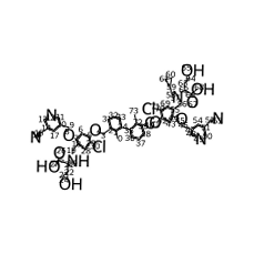 Cc1c(COc2cc(OCc3cncc(C#N)c3)c(CNC(CCO)C(=O)O)cc2Cl)cccc1-c1cccc(COc2cc(OCc3cncc(C#N)c3)c(CN(CC3CC3)C(CCO)C(=O)O)cc2Cl)c1C